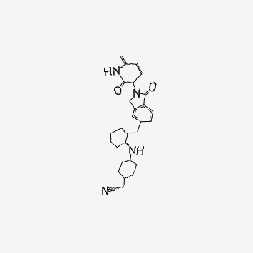 C=C1CCC(N2Cc3cc(C[C@H]4CCCC[C@@H]4NC4CCC(CC#N)CC4)ccc3C2=O)C(=O)N1